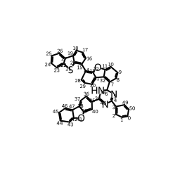 c1ccc(C2=NC(c3cccc4oc5c(-c6cccc7c6sc6ccccc67)cccc5c34)NC(c3ccc4c(c3)oc3ccccc34)=N2)cc1